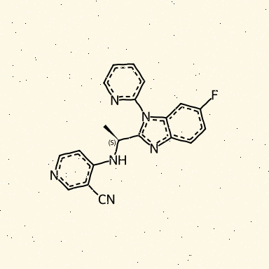 C[C@H](Nc1ccncc1C#N)c1nc2ccc(F)cc2n1-c1ccccn1